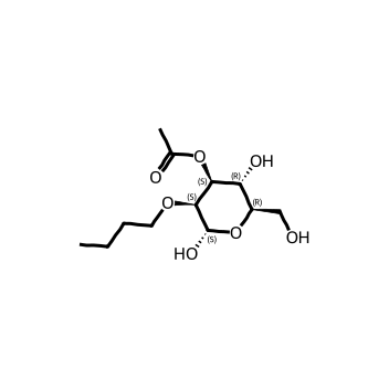 CCCCO[C@H]1[C@@H](OC(C)=O)[C@H](O)[C@@H](CO)O[C@@H]1O